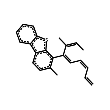 C=C\C=C/C=C(\C(C)=C/C)c1c(C)ccc2c1sc1ccccc12